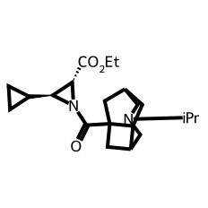 CCOC(=O)[C@H]1[C@H](C2CC2)N1C(=O)C12CC3CC1C(CN(C(C)C)C3)C2